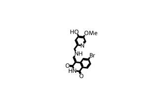 COc1cnc(CN/C=C2/C(=O)NC(=O)c3ccc(Br)cc32)cc1O